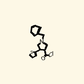 O=C(Cl)C1CN(Cc2ccccc2)CC1c1cccs1